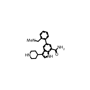 CNCc1ccccc1-c1cc(C(N)=O)c2[nH]cc(C3CCNCC3)c2c1